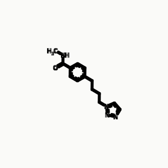 CNC(=O)c1ccc(CCCCn2ccnn2)cc1